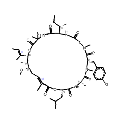 C/C=C(\C)[C@H]1OC(=O)C(C)(C)NC(=O)C([C@@H](C)CC)NC(=O)CN(C)C(=O)[C@@H](Cc2ccc(Cl)cc2)N(C)C(=O)[C@H](C)NC(=O)[C@@H](CC(C)C)OC(=O)/C(C)=C/C[C@H](OI)[C@@H]1C